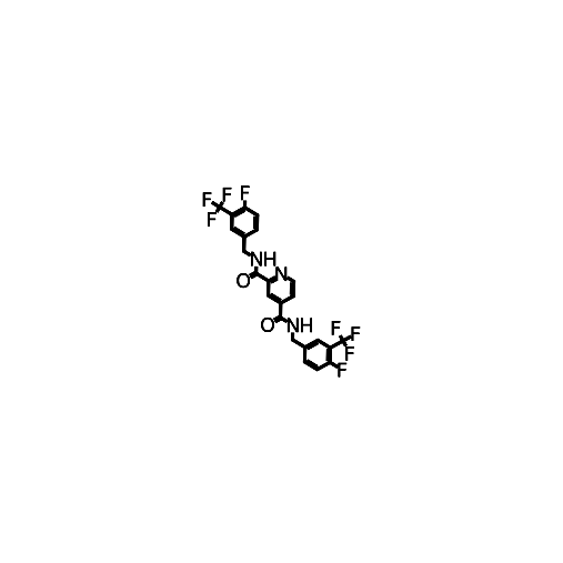 O=C(NCc1ccc(F)c(C(F)(F)F)c1)c1ccnc(C(=O)NCc2ccc(F)c(C(F)(F)F)c2)c1